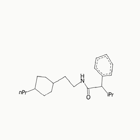 CCCC1CCC(CCNC(=O)C(c2ccccc2)C(C)C)CC1